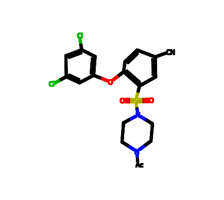 CC(=O)N1CCN(S(=O)(=O)c2cc(C#N)ccc2Oc2cc(Cl)cc(Cl)c2)CC1